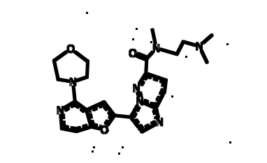 CN(C)CCN(C)C(=O)c1ccc2ncc(-c3cc4c(N5CCOCC5)nccc4o3)n2n1